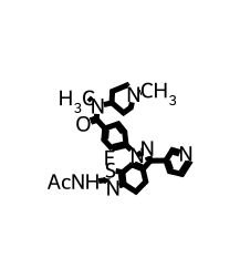 CC(=O)Nc1nc2c(s1)-c1c(c(-c3cccnc3)nn1-c1ccc(C(=O)N(C)C3CCN(C)CC3)cc1F)CC2